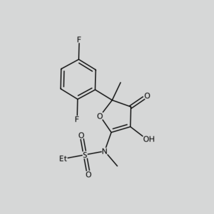 CCS(=O)(=O)N(C)C1=C(O)C(=O)C(C)(c2cc(F)ccc2F)O1